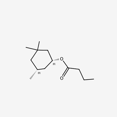 CCCC(=O)O[C@@H]1C[C@H](C)CC(C)(C)C1